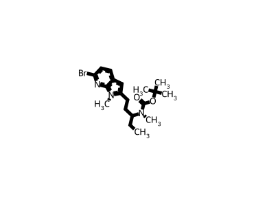 CCC(CCc1cc2ccc(Br)nc2n1C)N(C)C(=O)OC(C)(C)C